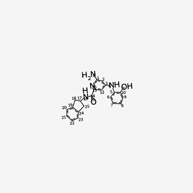 Nc1cc(Nc2ccccc2O)cc(C(=O)NC2Cc3ccccc3C2)n1